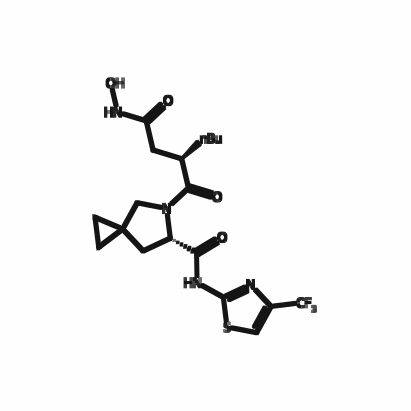 CCCC[C@H](CC(=O)NO)C(=O)N1CC2(CC2)C[C@H]1C(=O)Nc1nc(C(F)(F)F)cs1